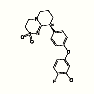 O=S1(=O)CCN2CCC[C@@H](c3ccc(Oc4ccc(F)c(Cl)c4)cc3)C2=N1